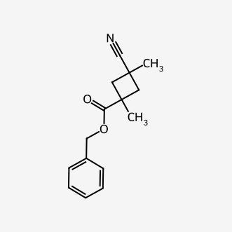 CC1(C#N)CC(C)(C(=O)OCc2ccccc2)C1